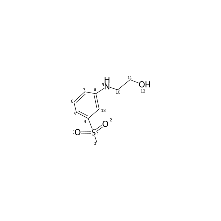 CS(=O)(=O)c1cccc(NCCO)c1